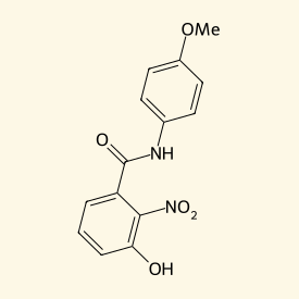 COc1ccc(NC(=O)c2cccc(O)c2[N+](=O)[O-])cc1